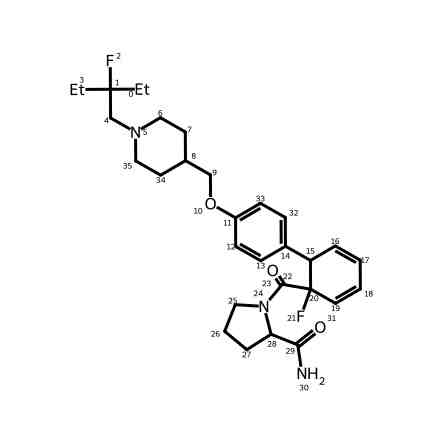 CCC(F)(CC)CN1CCC(COc2ccc(C3C=CC=CC3(F)C(=O)N3CCCC3C(N)=O)cc2)CC1